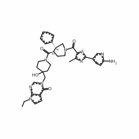 CCn1ccc2c(=O)n(CC3(O)CCN(C(=O)[C@@H]4CCN(C(=O)c5sc(-c6ccc(N)nc6)nc5C)C[C@H]4c4ccccc4)CC3)cnc21